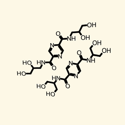 O=C(NC(CO)CO)c1cnc(C(=O)NC(CO)CO)cn1.O=C(NCC(O)CO)c1cnc(C(=O)NCC(O)CO)cn1